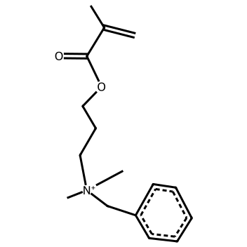 C=C(C)C(=O)OCCC[N+](C)(C)Cc1ccccc1